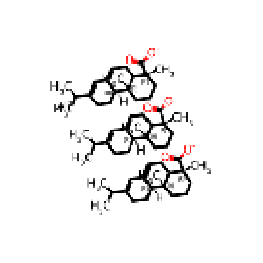 CC(C)C1=CC2=CCC3[C@](C)(C(=O)[O-])CCC[C@]3(C)[C@H]2CC1.CC(C)C1=CC2=CCC3[C@](C)(C(=O)[O-])CCC[C@]3(C)[C@H]2CC1.CC(C)C1=CC2=CCC3[C@](C)(C(=O)[O-])CCC[C@]3(C)[C@H]2CC1.[Al+3]